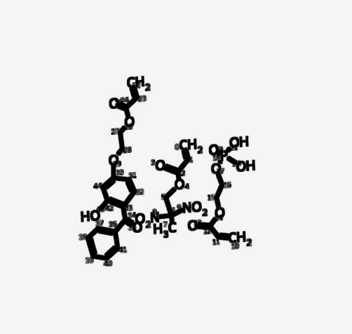 C=CC(=O)OCC(C)([N+](=O)[O-])[N+](=O)[O-].C=CC(=O)OCCOP(=O)(O)O.C=CC(=O)OCCOc1ccc(C(=O)c2ccccc2)c(O)c1